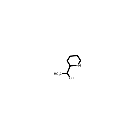 O=C(O)C(O)C1CCCCN1